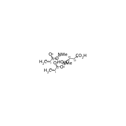 C=CC(=O)ONC.C=CC(=O)ONC.O=C(O)CCC(=O)O